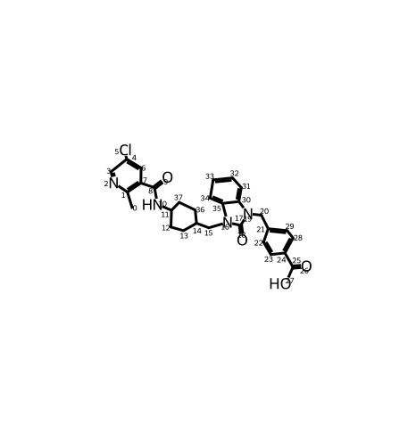 Cc1ncc(Cl)cc1C(=O)NC1CCC(Cn2c(=O)n(Cc3ccc(C(=O)O)cc3)c3ccccc32)CC1